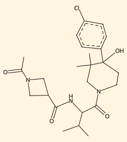 CC(=O)N1CC(C(=O)NC(C(=O)N2CCC(O)(c3ccc(Cl)cc3)C(C)(C)C2)C(C)C)C1